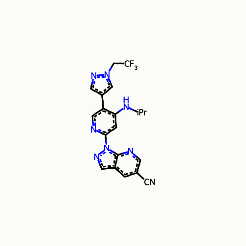 CC(C)Nc1cc(-n2ncc3cc(C#N)cnc32)ncc1-c1cnn(CC(F)(F)F)c1